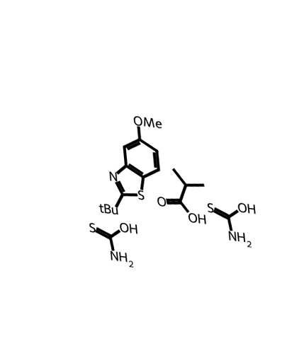 CC(C)C(=O)O.COc1ccc2sc(C(C)(C)C)nc2c1.NC(O)=S.NC(O)=S